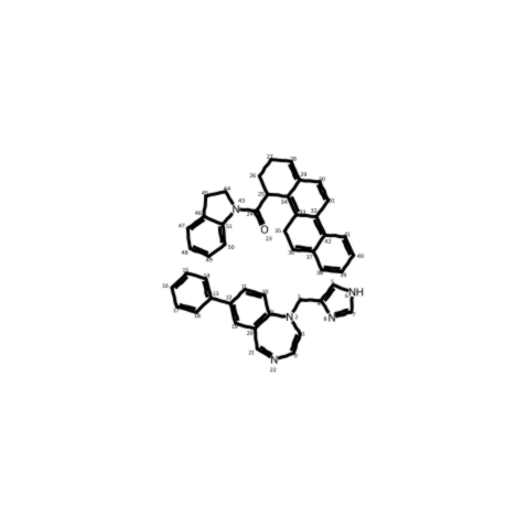 C1=CN(Cc2c[nH]cn2)c2ccc(-c3ccccc3)cc2C=N1.O=C(C1CCC=c2ccc3c(c21)CC=c1ccccc1=3)N1CCc2ccccc21